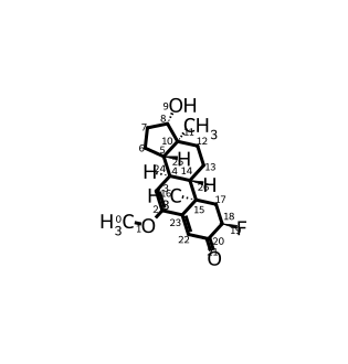 COC1=C[C@H]2[C@@H]3CC[C@H](O)[C@@]3(C)CC[C@@H]2[C@@]2(C)C[C@@H](F)C(=O)C=C12